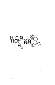 C#CC1(c2ccc3cnn(-c4cc(N5CC6(C(C)(C)O)CC5C6)ncn4)c3c2)CCC1